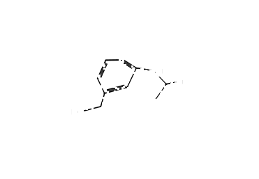 CCc1cccc(NC(C)C)c1